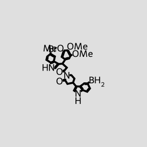 Bc1ccc2[nH]cc(C3CCN(C(=O)CC(c4cc(OC)c(OC)c(OC)c4)c4c[nH]c5ccc(Br)cc45)C(=O)C3)c2c1